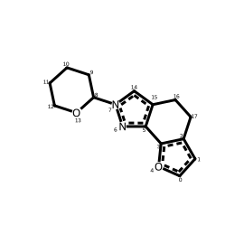 c1cc2c(o1)-c1nn(C3CCCCO3)cc1CC2